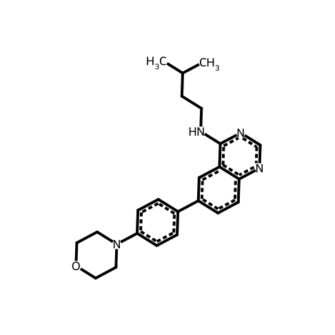 CC(C)CCNc1ncnc2ccc(-c3ccc(N4CCOCC4)cc3)cc12